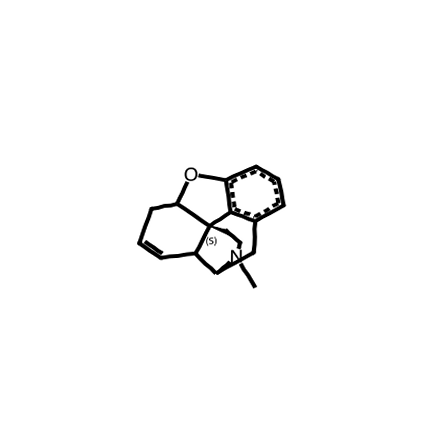 CN1CC[C@]23c4c5cccc4OC2CC=CC3C1C5